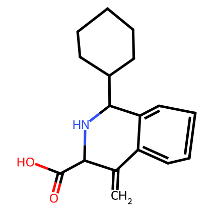 C=C1c2ccccc2C(C2CCCCC2)NC1C(=O)O